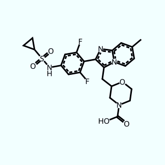 Cc1ccn2c(CC3CN(C(=O)O)CCO3)c(-c3c(F)cc(NS(=O)(=O)C4CC4)cc3F)nc2c1